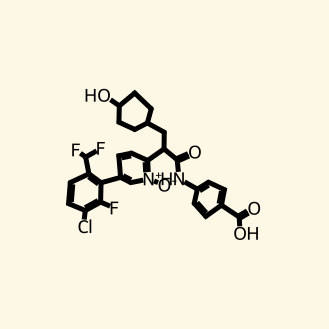 O=C(O)c1ccc(NC(=O)C(CC2CCC(O)CC2)c2ccc(-c3c(C(F)F)ccc(Cl)c3F)c[n+]2[O-])cc1